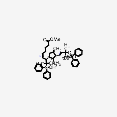 C=C1C[C@H](C(/C=C\CCCC(=O)OC)C(C)(C)[Si](O)(c2ccccc2)c2ccccc2)[C@H](C)[C@H]1/C=C/C(C)(CCCCC)O[Si](c1ccccc1)(c1ccccc1)C(C)(C)C